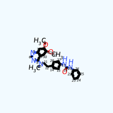 COc1cc2ncnc(N(C)CCc3ccc(NC(=O)Nc4ccccc4)cc3)c2cc1OC